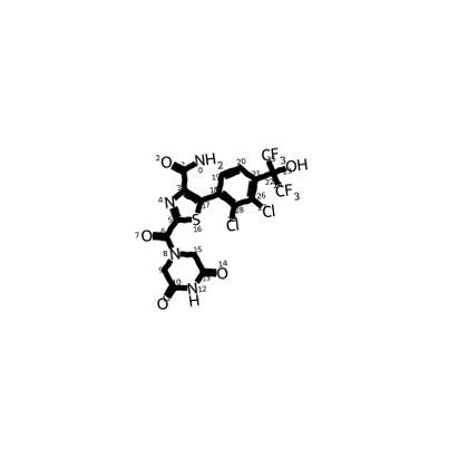 NC(=O)c1nc(C(=O)N2CC(=O)NC(=O)C2)sc1-c1ccc(C(O)(C(F)(F)F)C(F)(F)F)c(Cl)c1Cl